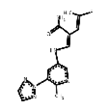 C/C(F)=C\C(=C\Nc1cnc(C)c(-n2nccn2)c1)C(N)=O